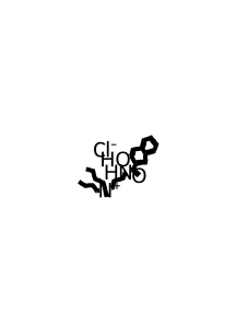 CCCC[N+](C)(CCCC)CCCNC(=O)c1cc2ccccc2cc1O.[Cl-]